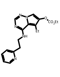 CCOC(=O)Oc1cn2ncnc(NCCc3ccccn3)c2c1CC